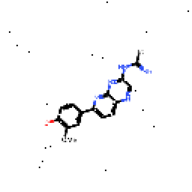 CCC(=N)Nc1cnc2ccc(-c3ccc(O)c(OC)c3)nc2n1